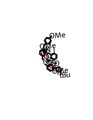 COc1ccc(CN(Cc2ccc(OC)cc2)S(=O)(=O)c2c(S(=O)(=O)N[C@@H]3CCN(C(C)(C)C)C3)ccc(I)c2-c2nnn(Cc3ccc(OC)cc3)n2)cc1